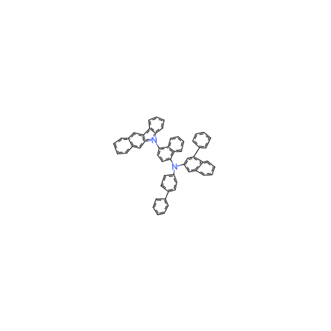 c1ccc(-c2ccc(N(c3cc(-c4ccccc4)c4ccccc4c3)c3ccc(-n4c5ccccc5c5cc6ccccc6cc54)c4ccccc34)cc2)cc1